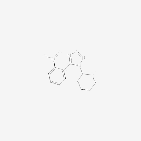 O=[N+]([O-])c1ccccc1-c1nnnn1C1CCCCO1